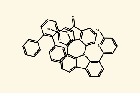 N#Cc1cccc(-c2cccc3c4cccc(-c5cccc(C#N)n5)c4n(-c4cccc5c4C(=O)N(c4cccc(-c6ccccc6)c4-c4ccccc4)C5=O)c23)n1